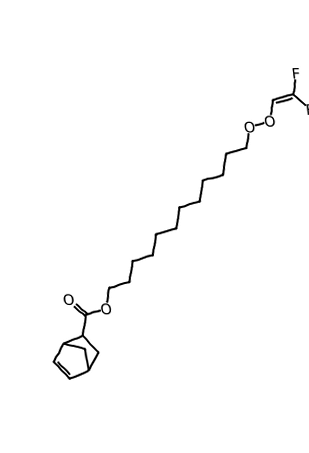 O=C(OCCCCCCCCCCCCOOC=C(F)F)C1CC2C=CC1C2